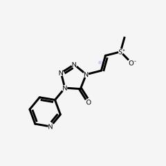 C[S+]([O-])/C=C/n1nnn(-c2cccnc2)c1=O